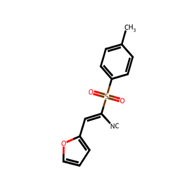 [C-]#[N+]C(=Cc1ccco1)S(=O)(=O)c1ccc(C)cc1